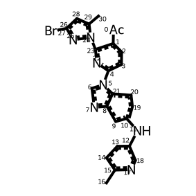 CC(=O)c1ccc(-n2cnc3cc(Nc4ccc(C)nc4)ccc32)nc1-n1nc(Br)cc1C